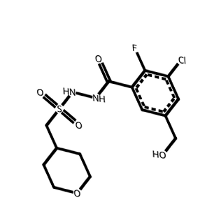 O=C(NNS(=O)(=O)CC1CCOCC1)c1cc(CO)cc(Cl)c1F